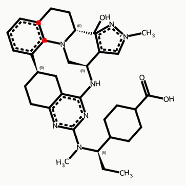 CC[C@H](C1CCC(C(=O)O)CC1)N(C)c1nc2c(c(N[C@@H](CN3CCCC[C@@H]3CO)c3cnn(C)c3)n1)C[C@H](c1ccccc1)CC2